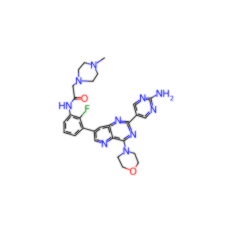 CN1CCN(CC(=O)Nc2cccc(-c3cnc4c(N5CCOCC5)nc(-c5cnc(N)nc5)nc4c3)c2F)CC1